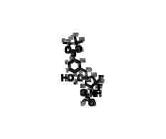 CC1(C)OB(c2cccc(C[C@@]3(C(=O)O)C[C@@H](NS(C)(=O)=O)C(F)(F)C3)c2)OC1(C)C